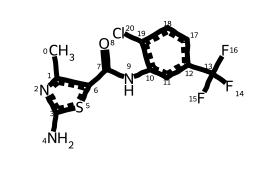 Cc1nc(N)sc1C(=O)Nc1cc(C(F)(F)F)ccc1Cl